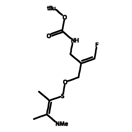 CN/C(C)=C(/C)SOC/C(=C/F)CNC(=O)OC(C)(C)C